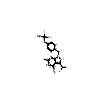 Cc1nc2c(c(C(F)F)nn2[C@@H](C)c2ccc(SC(F)(F)F)cc2)c(=O)[nH]1